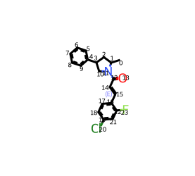 CC1CC(c2ccccc2)CN1C(=O)/C=C/c1ccc(Cl)cc1F